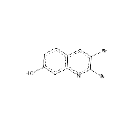 Oc1ccc2cc(Br)c(Br)nc2c1